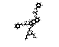 CCCCC[C@@H](CC[C@@H]1[C@H]2Cc3cccc(OCC(=O)OCc4ccccc4)c3C[C@H]2C[C@H]1OC(=O)OCc1ccccc1)OC(=O)COC